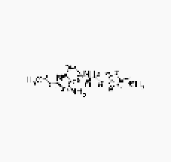 CCCc1cc(N)c2cc(NC(=O)/C=C/C3CCC(CC)CC3)ccc2n1